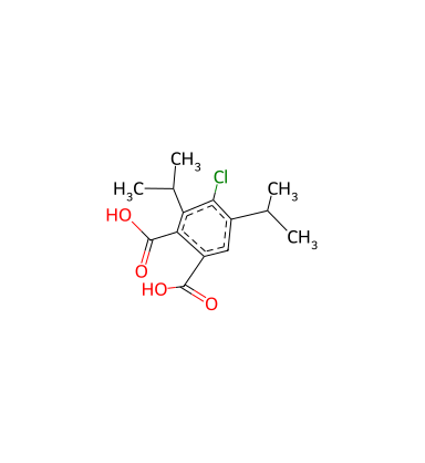 CC(C)c1cc(C(=O)O)c(C(=O)O)c(C(C)C)c1Cl